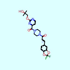 CC(C)(O)COc1nccc(C(=O)N2CCN(C(=O)/C=C/c3ccc4c(c3)OC(F)(F)O4)CC2)n1